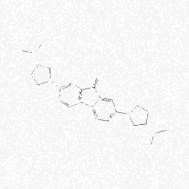 CN(C)[C@H]1CCN(c2ccc3c(c2)C(=O)c2cc(N4CC[C@H](N(C)C)C4)ccc2-3)C1